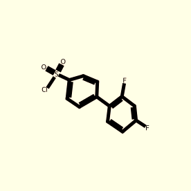 O=S(=O)(Cl)c1ccc(-c2ccc(F)cc2F)cc1